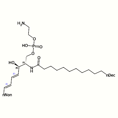 CCCCCCCCC/C=C/C=C/[C@@H](O)[C@H](COP(=O)(O)OCCN)NC(=O)CCCCCCCCCCCCCCCCCCCC